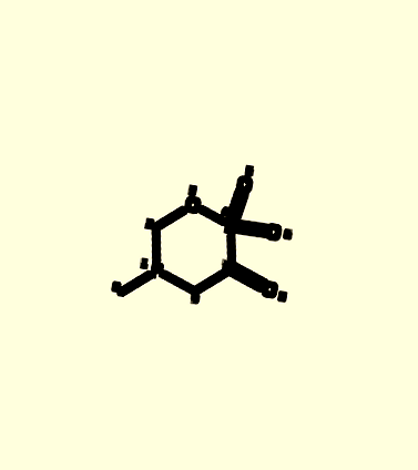 CP1COS(=O)(=O)C(=O)C1